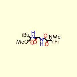 CCCC(NC)C(=O)C(=O)NCC(=O)NC(C(=O)OC)C(C)CC